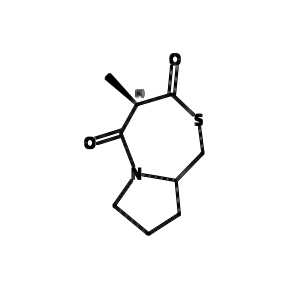 C[C@H]1C(=O)SCC2CCCN2C1=O